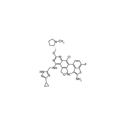 CN1CCC[C@H]1COc1nc(NCc2nc(C3CC3)n[nH]2)c2c3c(c(-c4ccc(F)c5sc(N)c(C#N)c45)c(Cl)c2n1)COC3